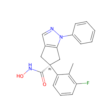 Cc1c(F)cccc1[C@@]1(C(=O)NO)Cc2cnn(-c3ccccc3)c2C1